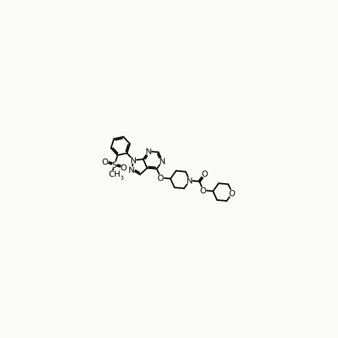 CS(=O)(=O)c1ccccc1-n1ncc2c(OC3CCN(C(=O)OC4CCOCC4)CC3)ncnc21